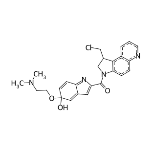 CN(C)CCOC1(O)C=CC2=NC(C(=O)N3CC(CCl)c4c3ccc3ncccc43)=CC2=C1